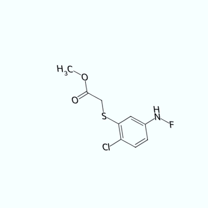 COC(=O)CSc1cc(NF)ccc1Cl